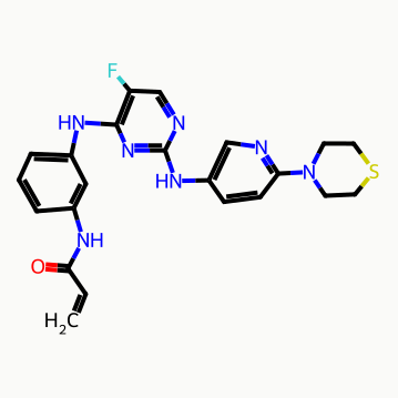 C=CC(=O)Nc1cccc(Nc2nc(Nc3ccc(N4CCSCC4)nc3)ncc2F)c1